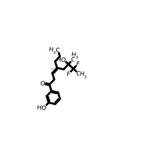 CCC/C(=C/CC(=O)c1cccc(O)c1)CC(C)(O)C(C)(F)F